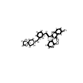 O=c1c2cc(F)ccc2nc(C=Cc2cccc(CN3CCC4(CC3)OCCO4)c2)n1-c1cccnc1Cl